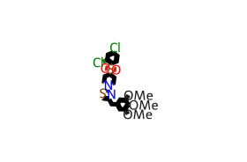 COc1cc(Cc2csc(N3CCC(S(=O)(=O)c4ccc(Cl)cc4Cl)CC3)n2)cc(OC)c1OC